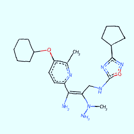 Cc1nc(/C(N)=C(\CNc2nc(C3CCCC3)no2)N(C)N)ccc1OC1CCCCC1